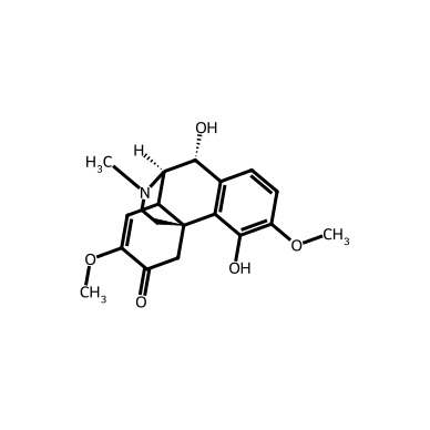 COC1=CC2[C@@H]3[C@H](O)c4ccc(OC)c(O)c4[C@]2(CCN3C)CC1=O